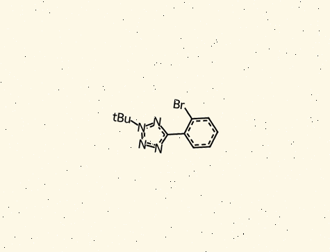 CC(C)(C)n1nnc(-c2ccccc2Br)n1